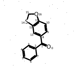 O=C(c1ccccc1)c1ccc2c(c1)SCO2